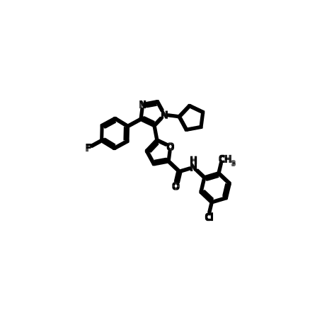 Cc1ccc(Cl)cc1NC(=O)c1ccc(-c2c(-c3ccc(F)cc3)ncn2C2CCCC2)o1